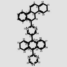 C1=CC2=c3ccccc3=C(c3ncc(-c4c5c(c(-c6ncncn6)c6ccccc46)=CCCC=5)cn3)CC2C2=CCCC=C12